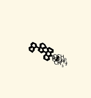 CC1(C)OB(c2c3ccccc3c(-c3ccc(-c4cccc5ccccc45)c4c3=CCCC=4)c3ccccc23)OC1(C)C